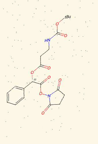 CC(C)(C)OC(=O)NCCC(=O)O[C@H](C(=O)ON1C(=O)CCC1=O)c1ccccc1